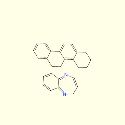 C1=CN=c2ccccc2=NC1.c1ccc2c(c1)CCc1c-2ccc2c1CCCC2